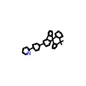 CC1(C)c2ccccc2C2(c3ccccc3-c3cc(-c4ccc(-c5ccccn5)cc4)ccc32)c2ccccc21